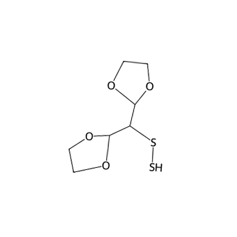 SSC(C1OCCO1)C1OCCO1